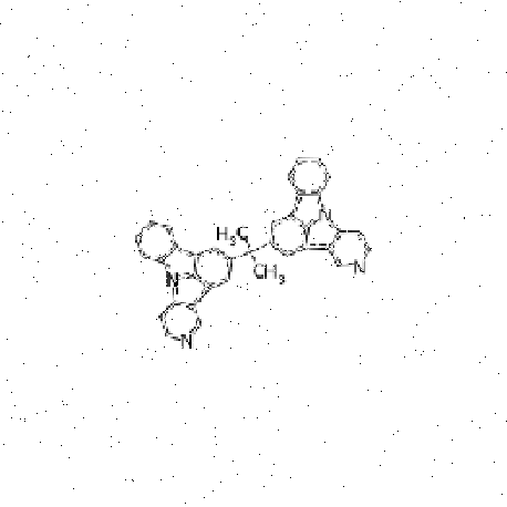 CC(C)(c1cc2c3ccccc3n3c4ccncc4c(c1)c23)c1cc2c3ccccc3n3c4ccncc4c(c1)c23